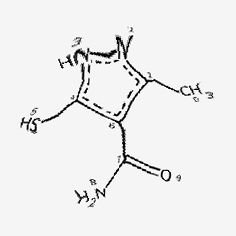 Cc1n[nH]c(S)c1C(N)=O